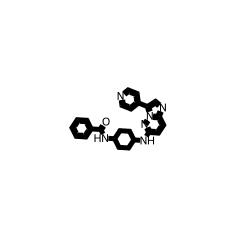 O=C(NC1CCC(Nc2ccc3ncc(-c4ccncc4)n3n2)CC1)c1ccccc1